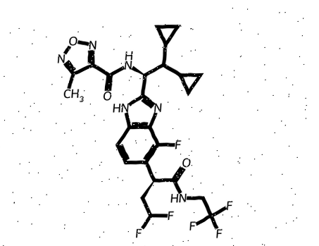 Cc1nonc1C(=O)N[C@H](c1nc2c(F)c([C@H](CC(F)F)C(=O)NCC(F)(F)F)ccc2[nH]1)C(C1CC1)C1CC1